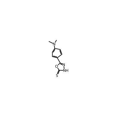 CN(C)c1ccc(-c2n[nH]c(=S)o2)cc1